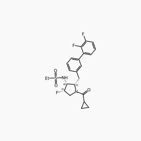 CCS(=O)(=O)N[C@H]1[C@@H](F)CN(C(=O)C2CC2)[C@H]1Cc1cccc(-c2cccc(F)c2F)c1